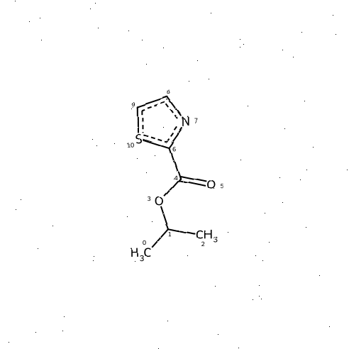 CC(C)OC(=O)c1n[c]cs1